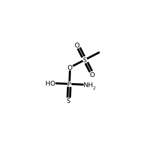 CS(=O)(=O)OP(N)(O)=S